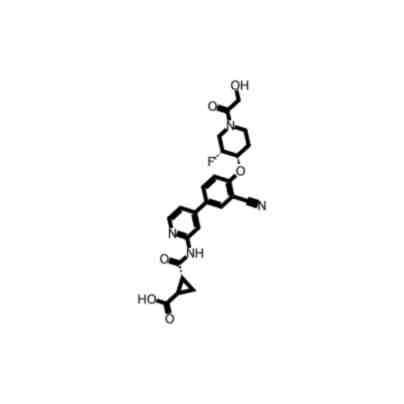 N#Cc1cc(-c2ccnc(NC(=O)[C@@H]3CC3C(=O)O)c2)ccc1O[C@H]1CCN(C(=O)CO)C[C@H]1F